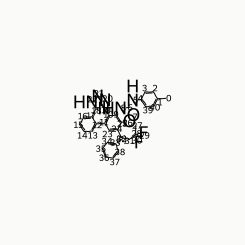 Cc1ccc(NC(=O)Nc2cc(-c3ccccc3-c3nnn[nH]3)cc3c2OCC(F)(F)C[C@@H]3c2ccccc2)cc1